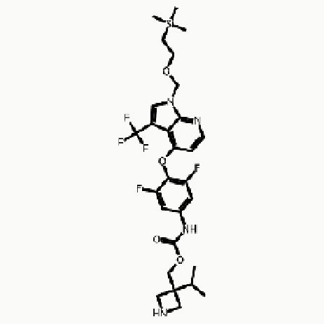 CC(C)C1(COC(=O)Nc2cc(F)c(Oc3ccnc4c3c(C(F)(F)F)cn4COCC[Si](C)(C)C)c(F)c2)CNC1